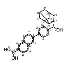 OCc1ccc(-c2ccc3cc(B(O)O)ccc3c2)cc1C12CC3CC(CC(C3)C1)C2